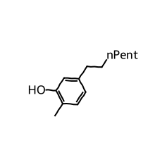 CCCCCCCc1ccc(C)c(O)c1